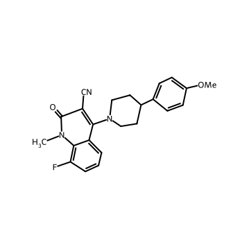 COc1ccc(C2CCN(c3c(C#N)c(=O)n(C)c4c(F)cccc34)CC2)cc1